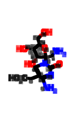 NC[C@@]1(n2cc(CC(=O)O)c(N)nc2=O)O[C@H](CO)[C@@H](O)[C@H]1O